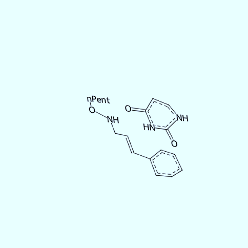 CCCCCONCC=Cc1ccccc1.O=c1cc[nH]c(=O)[nH]1